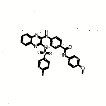 COc1ccc(NC(=O)c2ccc(Nc3nc4ccccc4nc3NS(=O)(=O)c3ccc(C)cc3)cc2)cc1